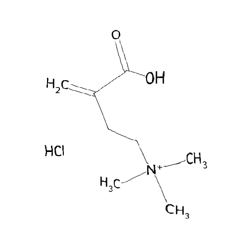 C=C(CC[N+](C)(C)C)C(=O)O.Cl